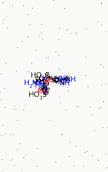 Cc1sc(N)nc1C(=NOC(COc1ccc(C(=N)NC2CNC2)cc1)C(=O)O)C(=O)NC1C(=O)N(OS(=O)(=O)O)C1(C)C